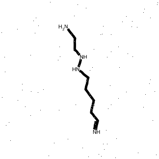 N=CCCCCNNCCN